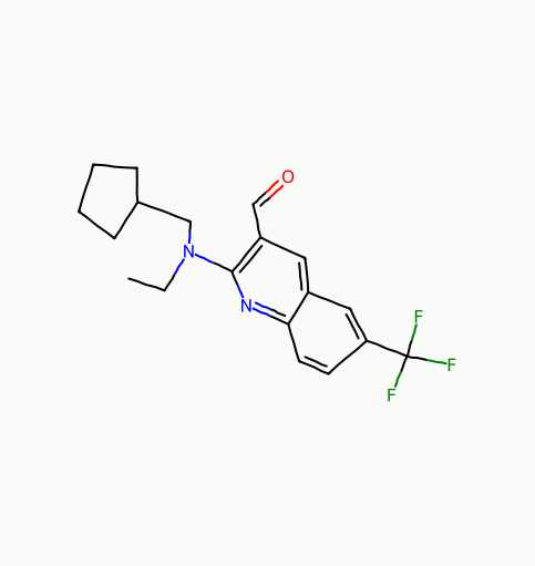 CCN(CC1CCCC1)c1nc2ccc(C(F)(F)F)cc2cc1C=O